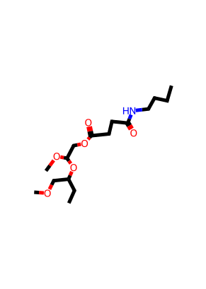 CCCCNC(=O)CCC(=O)OCC(OC)OC(CC)COC